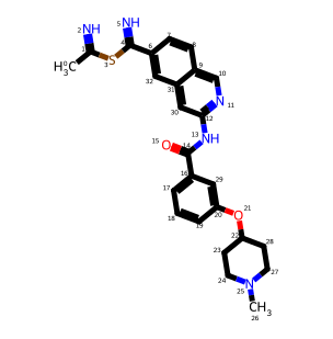 CC(=N)SC(=N)c1ccc2cnc(NC(=O)c3cccc(OC4CCN(C)CC4)c3)cc2c1